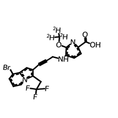 [2H]C([2H])([2H])Oc1nc(C(=O)O)ccc1NCC#Cc1cc2c(Br)cccn2c1CC(F)(F)F